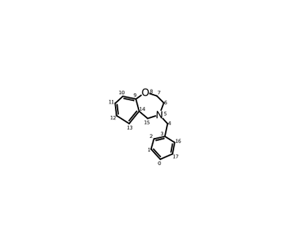 c1ccc(CN2CCOc3ccccc3C2)cc1